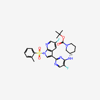 Cc1ccccc1S(=O)(=O)n1cc(-c2ncc(F)c(N[C@H]3CCCN(C(=O)OC(C)(C)C)C3)n2)c2cc(F)cnc21